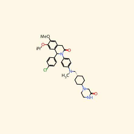 COc1cc2c(cc1OC(C)C)C(c1ccc(Cl)cc1)N(c1ccc(N(C)C[C@H]3CC[C@H](N4CCNC(=O)C4)CC3)cc1)C(=O)C2